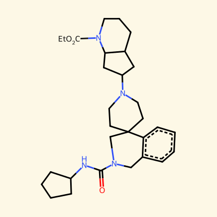 CCOC(=O)N1CCCC2CC(N3CCC4(CC3)CN(C(=O)NC3CCCC3)Cc3ccccc34)CC21